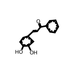 O=C(C=Cc1ccc(O)c(O)c1)c1ccccc1